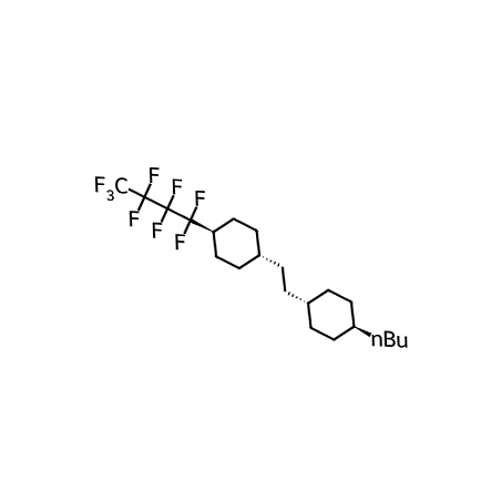 CCCC[C@H]1CC[C@H](CC[C@H]2CC[C@H](C(F)(F)C(F)(F)C(F)(F)C(F)(F)F)CC2)CC1